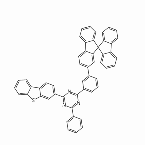 c1ccc(-c2nc(-c3cccc(-c4ccc5c(c4)C4(c6ccccc6-c6ccccc64)c4ccccc4-5)c3)nc(-c3ccc4c(c3)sc3ccccc34)n2)cc1